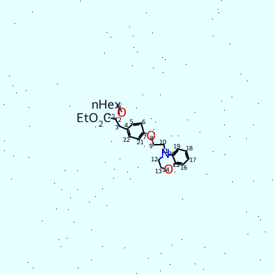 CCCCCCOC(Cc1ccc(OCCN2CCOc3ccccc32)cc1)C(=O)OCC